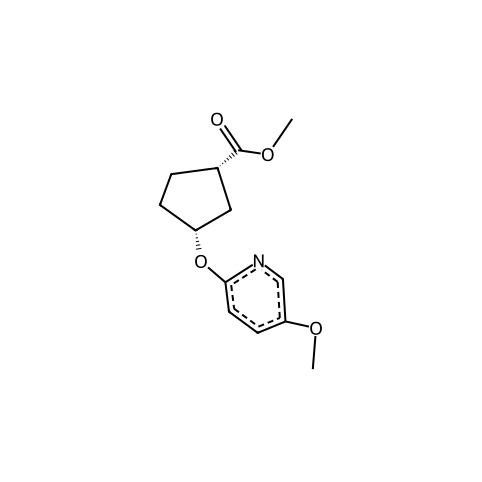 COC(=O)[C@H]1CC[C@@H](Oc2ccc(OC)cn2)C1